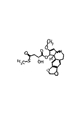 COC1=CC23CCCN2CCc2cc4c(cc2[C@@H]3C1OC(=O)[C@H](O)CC(=O)SC)OCO4